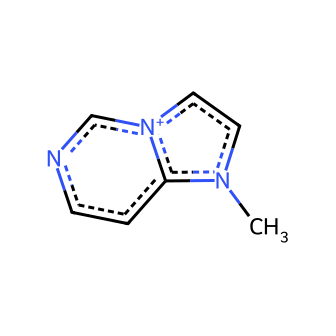 Cn1cc[n+]2cnccc12